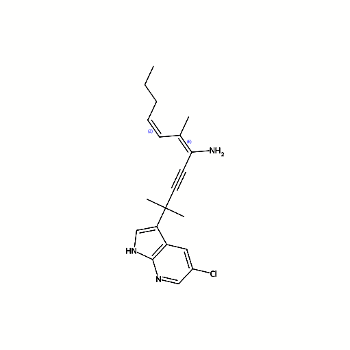 CCC/C=C\C(C)=C(\N)C#CC(C)(C)c1c[nH]c2ncc(Cl)cc12